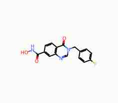 O=C(NO)c1ccc2c(=O)n(Cc3ccc(F)cc3)cnc2c1